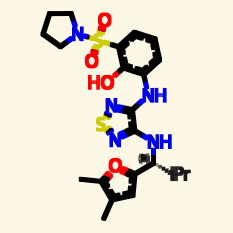 Cc1cc([C@H](Nc2nsnc2Nc2cccc(S(=O)(=O)N3CCCC3)c2O)C(C)C)oc1C